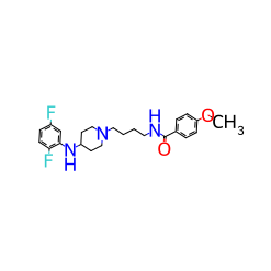 COc1ccc(C(=O)NCCCCN2CCC(Nc3cc(F)ccc3F)CC2)cc1